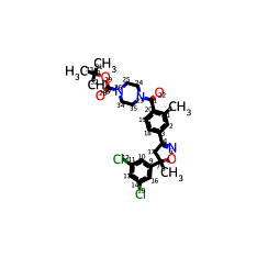 Cc1cc(C2=NOC(C)(c3cc(Cl)cc(Cl)c3)C2)ccc1C(=O)N1CCN(C(=O)OC(C)(C)C)CC1